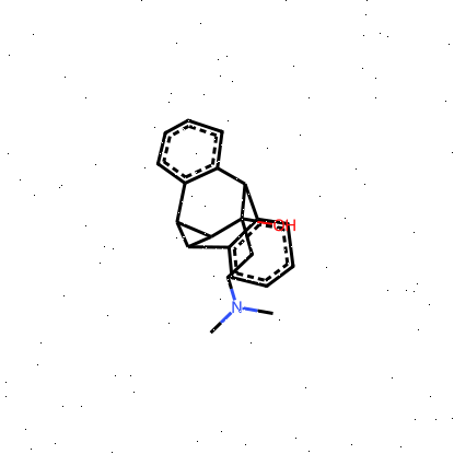 CN(C)CCC1(O)C2c3ccccc3C3C(c4ccccc42)C31